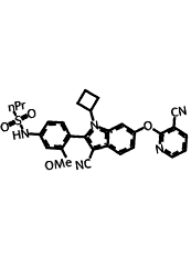 CCCS(=O)(=O)Nc1ccc(-c2c(C#N)c3ccc(Oc4ncccc4C#N)cc3n2C2CCC2)c(OC)c1